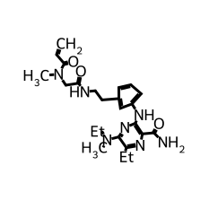 C=CC(=O)N(C)CC(=O)NCCc1cccc(Nc2nc(N(C)CC)c(CC)nc2C(N)=O)c1